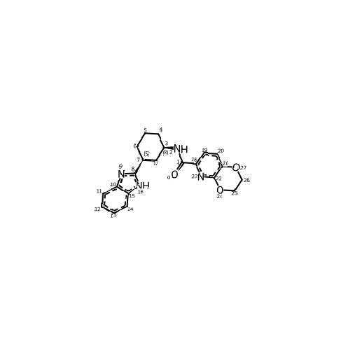 O=C(N[C@@H]1CCC[C@H](c2nc3ccccc3[nH]2)C1)c1ccc2c(n1)OCCO2